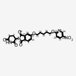 O=C1CCC(N2C(=O)c3ccc(OCCCCCOc4ccc([N+](=O)[O-])cn4)cc3C2=O)C(=O)N1